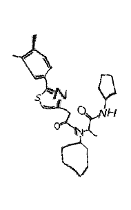 Cc1ccc(-c2nc(CC(=O)N(C3CCCCC3)C(C)C(=O)NC3CCCC3)cs2)cc1C